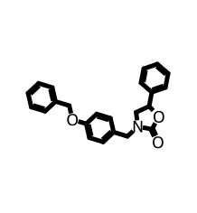 O=C1OC(c2ccccc2)CN1Cc1ccc(OCc2ccccc2)cc1